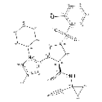 Cc1cc(N2C[C@H](S(=O)(=O)c3ccccc3Cl)C[C@H]2C(=O)NC2(C#N)CC2)n(C2CCSCC2)n1